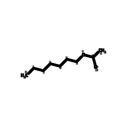 CCCCCCCOC(C)[O]